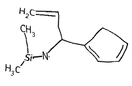 C=CC([N][Si](C)C)C1=CC=CC1